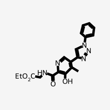 CCOC(=O)CNC(=O)c1ncc(-c2cn(-c3ccccc3)nn2)c(C)c1O